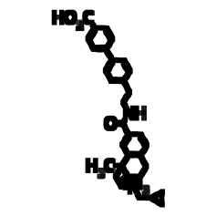 CC1C2Cc3ccc(C(=O)NCCc4ccc(-c5ccc(C(=O)O)cc5)cc4)cc3C1(C)CCN2CC1CC1